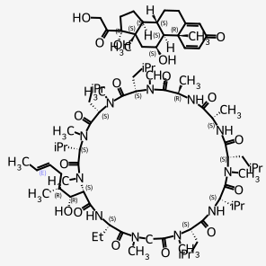 C/C=C/C[C@@H](C)[C@@H](O)[C@H]1C(=O)N[C@@H](CC)C(=O)N(C)CC(=O)N(C)[C@@H](CC(C)C)C(=O)N[C@@H](C(C)C)C(=O)N(C)[C@@H](CC(C)C)C(=O)N[C@@H](C)C(=O)N[C@H](C)C(=O)N(C)[C@@H](CC(C)C)C(=O)N(C)[C@@H](CC(C)C)C(=O)N(C)[C@@H](C(C)C)C(=O)N1C.C[C@]12C=CC(=O)C=C1CC[C@@H]1[C@@H]2[C@@H](O)C[C@@]2(C)[C@H]1CC[C@]2(O)C(=O)CO